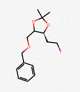 CC1(C)OC(COCc2ccccc2)[C@H](CCI)O1